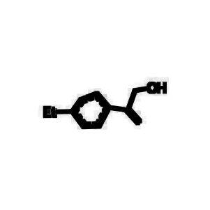 C=C(CO)c1ccc(CC)cc1